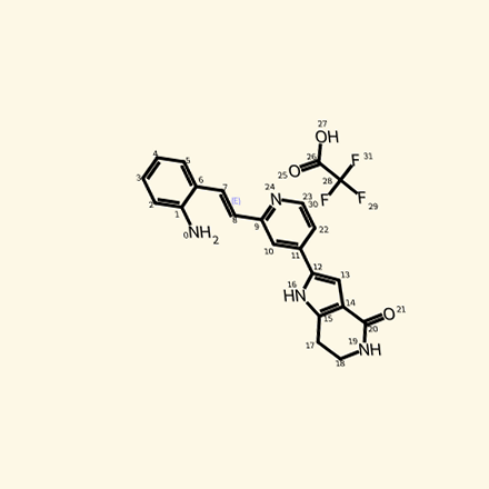 Nc1ccccc1/C=C/c1cc(-c2cc3c([nH]2)CCNC3=O)ccn1.O=C(O)C(F)(F)F